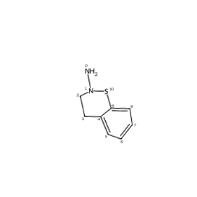 NN1CCc2ccccc2S1